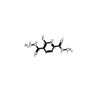 COC(=O)c1ccc(C(=O)OC)c(F)n1